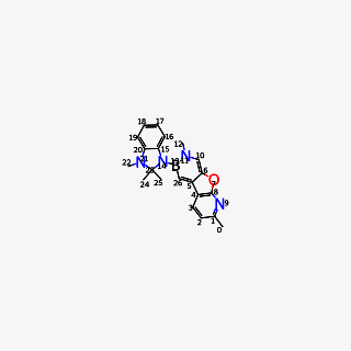 Cc1ccc2c3c(oc2n1)=CN(C)B(N1c2ccccc2N(C)C1(C)C)C=3